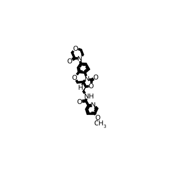 COc1ccc(C(=O)NC[C@@H]2OC(=O)N3c4ccc(N5CCOCC5=O)cc4OC[C@@H]23)nc1